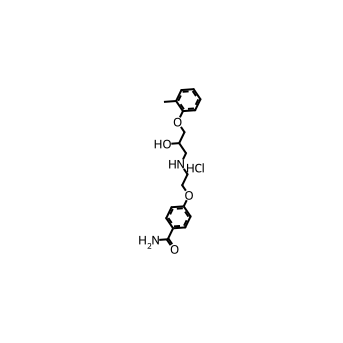 Cc1ccccc1OCC(O)CNCCOc1ccc(C(N)=O)cc1.Cl